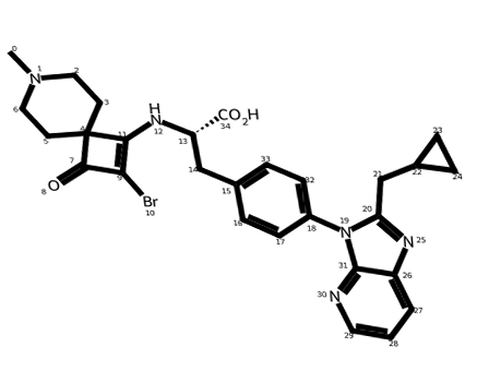 CN1CCC2(CC1)C(=O)C(Br)=C2N[C@@H](Cc1ccc(-n2c(CC3CC3)nc3cccnc32)cc1)C(=O)O